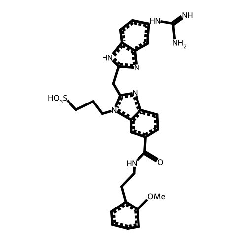 COc1ccccc1CCNC(=O)c1ccc2nc(Cc3nc4cc(NC(=N)N)ccc4[nH]3)n(CCCS(=O)(=O)O)c2c1